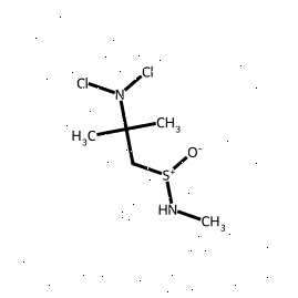 CN[S+]([O-])CC(C)(C)N(Cl)Cl